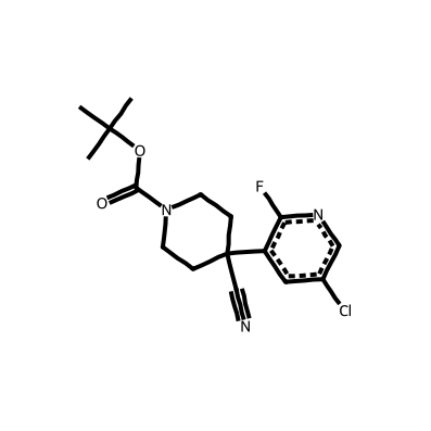 CC(C)(C)OC(=O)N1CCC(C#N)(c2cc(Cl)cnc2F)CC1